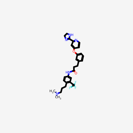 CN(C)CCCc1ccc(NC(=O)CCc2cccc(Oc3ccnc(C4=NCCN4)c3)c2)cc1C(F)(F)F